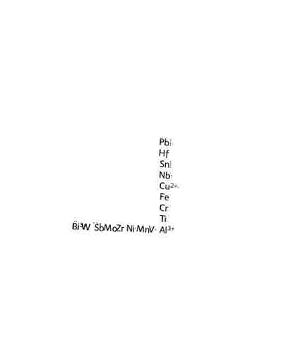 [Al+3].[Bi+3].[Cr].[Cu+2].[Fe].[Hf].[Mn].[Mo].[Nb].[Ni].[Pb].[Sb].[Sn].[Ti].[V].[W].[Zr]